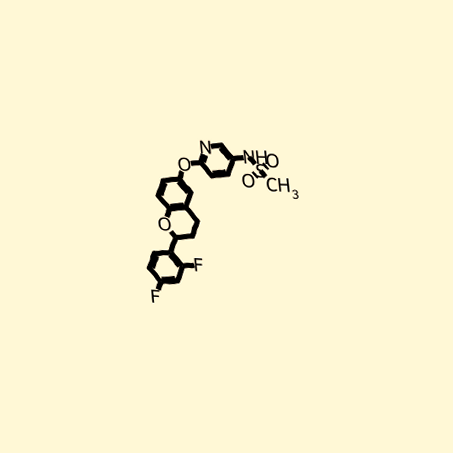 CS(=O)(=O)Nc1ccc(Oc2ccc3c(c2)CCC(c2ccc(F)cc2F)O3)nc1